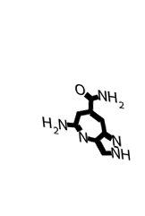 NC(=O)C1=Cc2n[nH]cc2N=C(N)C1